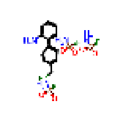 NS(=O)(=O)F.NS(=O)(=O)F.NS(=O)(=O)F.Nc1ccccc1-c1ccc(CBr)cc1